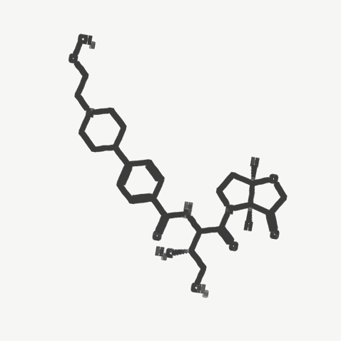 CC[C@H](C)C(NC(=O)c1ccc(C2CCN(CCOC)CC2)cc1)C(=O)N1CC[C@H]2OCC(=O)[C@H]21